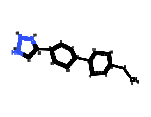 CCc1ccc(-c2ccc(-c3c[nH]nn3)cc2)cc1